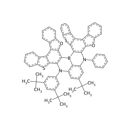 CC(C)(C)c1cc(N2c3cc(C(C)(C)C)cc4c3B(c3c2c2sc5ccccc5c2c2c3oc3ccccc32)c2c(c3oc5ccccc5c3c3c2sc2ccccc23)N4c2ccccc2)cc(C(C)(C)C)c1